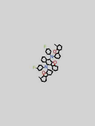 Cc1cccc2c1oc1c(N(c3ccc(F)cc3)c3c4ccccc4c(N(c4ccc(F)cc4)c4cccc5c4oc4c(C)cccc45)c4c3oc3ccccc34)cccc12